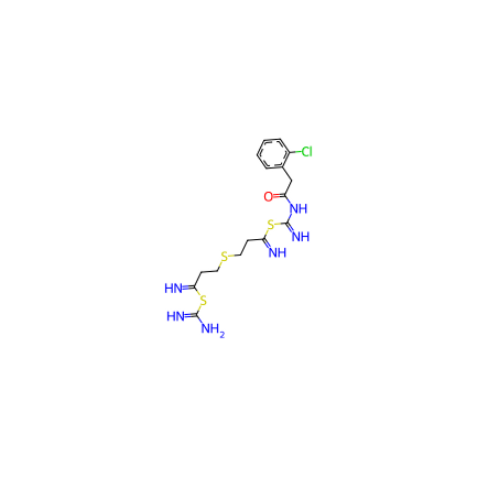 N=C(N)SC(=N)CCSCCC(=N)SC(=N)NC(=O)Cc1ccccc1Cl